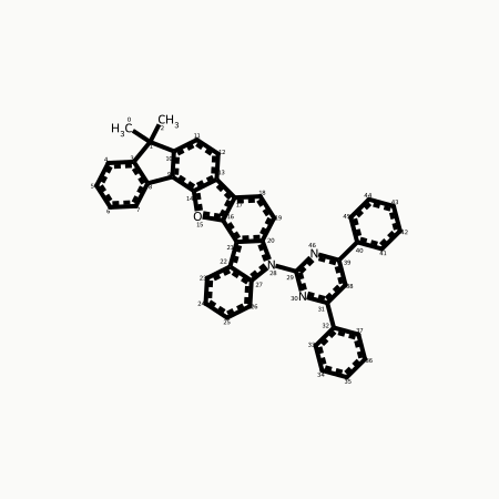 CC1(C)c2ccccc2-c2c1ccc1c2oc2c1ccc1c2c2ccccc2n1-c1nc(-c2ccccc2)cc(-c2ccccc2)n1